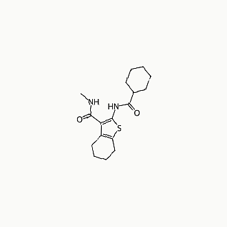 CNC(=O)c1c(NC(=O)C2CCCCC2)sc2c1CCCC2